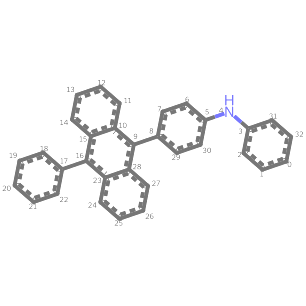 c1ccc(Nc2ccc(-c3c4ccccc4c(-c4ccccc4)c4ccccc34)cc2)cc1